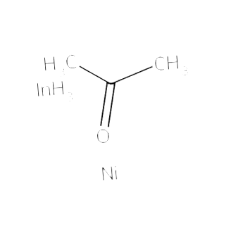 CC(C)=O.[InH3].[Ni]